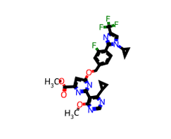 COC(=O)c1cc(OCc2ccc(-c3nc(C(F)(F)F)cn3C3CC3)c(F)c2)nc(-c2c(OC)ncnc2C2CC2)n1